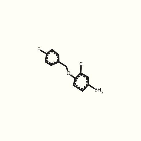 Bc1ccc(OCc2ccc(F)cc2)c(Cl)c1